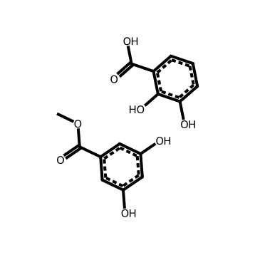 COC(=O)c1cc(O)cc(O)c1.O=C(O)c1cccc(O)c1O